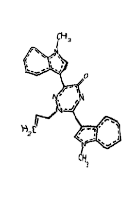 C=CCn1nc(-c2cn(C)c3ccccc23)c(=O)nc1-c1cn(C)c2ccccc12